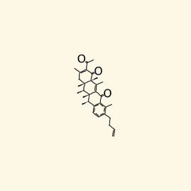 C=CCCc1ccc2c(c1C)C(=O)C1=C(C)[C@@]3(C)C(=O)C(C(C)=O)=C(C)C[C@@]3(C)[C@H](C)[C@@]1(C)[C@@H]2C